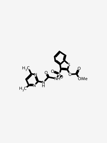 COC(=O)Oc1sc2ccccc2c1S(=O)(=O)NC(=O)Nc1nc(C)cc(C)n1